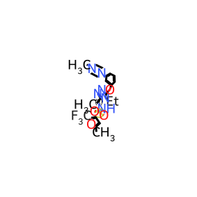 CCn1c(Oc2cccc(N3CCN(C)CC3)c2)nnc1[C@@H](C)NS(=O)(=O)c1cc(C)oc1C(F)(F)F